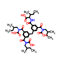 CCC(C)CN(C(=O)O)C(=O)c1cc(Cc2cc(C(=O)N(CC(C)CC)C(=O)O)cc(C(=O)N(CC(C)CC)C(=O)O)c2)cc(C(=O)NC(C(=O)O)C(C)CC)c1